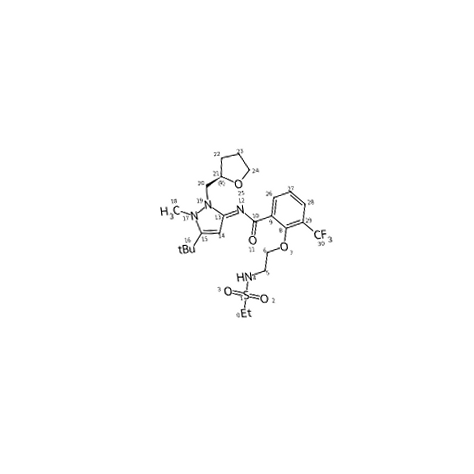 CCS(=O)(=O)NCCOc1c(C(=O)N=c2cc(C(C)(C)C)n(C)n2C[C@H]2CCCO2)cccc1C(F)(F)F